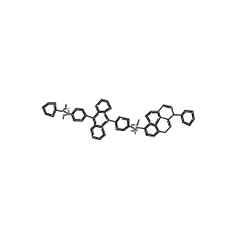 C[Si](C)(c1ccccc1)c1ccc(-c2c3ccccc3c(-c3ccc([Si](C)(C)c4ccc5c6c7c(ccc46)C=CC(c4ccccc4)C7=CC5)cc3)c3ccccc23)cc1